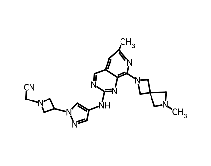 Cc1cc2cnc(Nc3cnn(C4CN(CC#N)C4)c3)nc2c(N2CC3(CN(C)C3)C2)n1